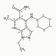 CCn1ncc2c(NC3CCCCC3)c(C(N)=O)c(C)nc21